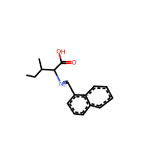 CCC(C)C(/N=C/c1cccc2ccccc12)C(=O)O